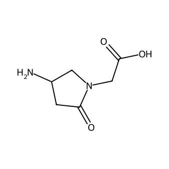 NC1CC(=O)N(CC(=O)O)C1